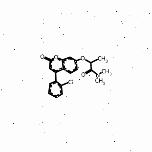 CC(Oc1ccc2c(-c3ccccc3Cl)cc(=O)oc2c1)C(=O)N(C)C